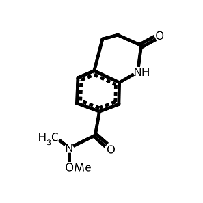 CON(C)C(=O)c1ccc2c(c1)NC(=O)CC2